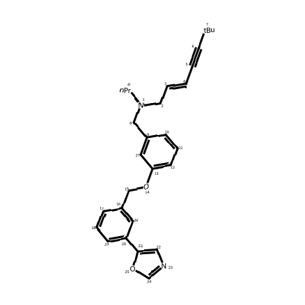 CCCN(C/C=C/C#CC(C)(C)C)Cc1cccc(OCc2cccc(-c3cnco3)c2)c1